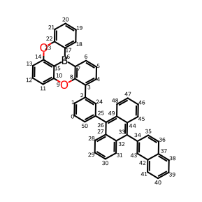 c1cc(-c2cccc3c2Oc2cccc4c2B3c2ccccc2O4)cc(-c2c3ccccc3c(-c3ccc4ccccc4c3)c3ccccc23)c1